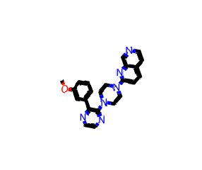 COc1cccc(-c2nccnc2N2CCN(c3ccc4ccncc4n3)CC2)c1